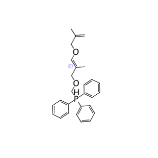 C=C(C)CO/C=C(\C)COC[PH](c1ccccc1)(c1ccccc1)c1ccccc1